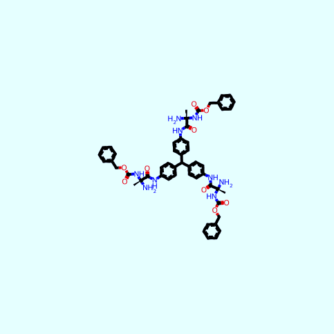 C[C@@](N)(NC(=O)OCc1ccccc1)C(=O)Nc1ccc(C(c2ccc(NC(=O)[C@](C)(N)NC(=O)OCc3ccccc3)cc2)c2ccc(NC(=O)[C@](C)(N)NC(=O)OCc3ccccc3)cc2)cc1